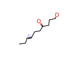 CC/C=C/CCC(=O)CCC=O